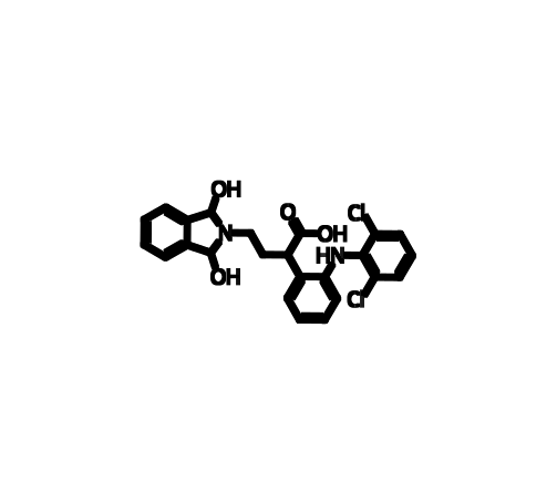 O=C(O)C(CCN1C(O)c2ccccc2C1O)c1ccccc1Nc1c(Cl)cccc1Cl